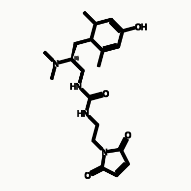 CC1=CC(O)=CC(C)C1C[C@@H](CNC(=O)NCCN1C(=O)C=CC1=O)N(C)C